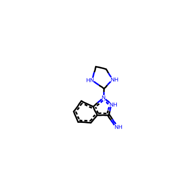 N=c1[nH]n(C2NCCN2)c2ccccc12